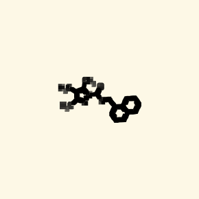 Cc1nn(C(=O)N=Cc2cccc3ccccc23)c(C)c1C